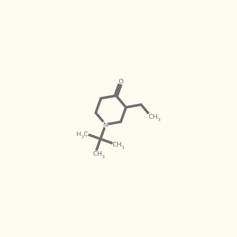 CCC1CN(C(C)(C)C)CCC1=O